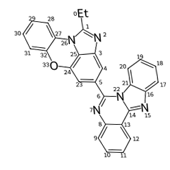 CCc1nc2cc(-c3nc4ccccc4c4nc5ccccc5n34)cc3c2n1-c1ccccc1O3